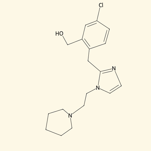 OCc1cc(Cl)ccc1Cc1nccn1CCN1CCCCC1